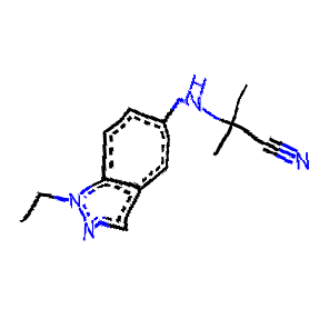 CCn1ncc2cc(NC(C)(C)C#N)ccc21